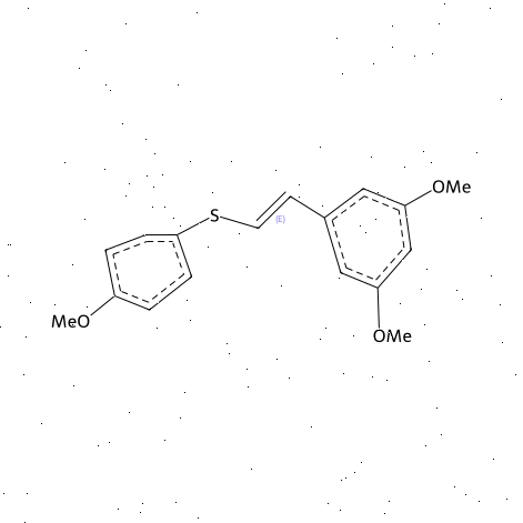 COc1ccc(S/C=C/c2cc(OC)cc(OC)c2)cc1